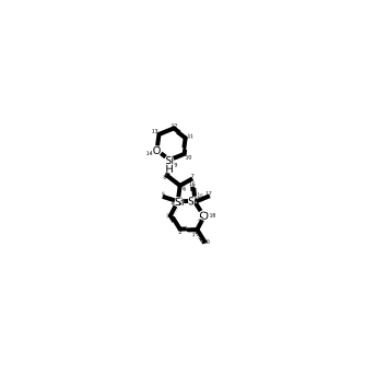 CC1CC[Si](C)(C(C)C[SiH]2CCCCO2)[Si](C)(C)O1